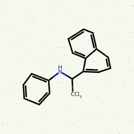 ClC(Cl)(Cl)C(Nc1ccccc1)c1cccc2ccccc12